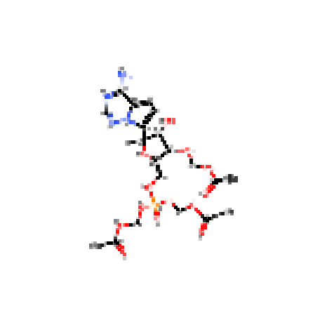 CC(C)C(=O)OCOP(=O)(OCOC(=O)C(C)(C)C)OC[C@H]1O[C@@](C)(c2ccc3c(N)ncnn23)[C@H](O)[C@@H]1OCOC(=O)C(C)(C)C